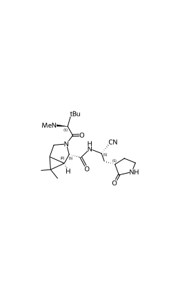 CN[C@H](C(=O)N1CC2[C@@H]([C@H]1C(=O)N[C@H](C#N)C[C@@H]1CCNC1=O)C2(C)C)C(C)(C)C